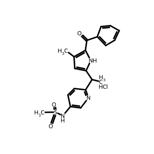 Cc1cc(C(C)c2ccc(NS(C)(=O)=O)cn2)[nH]c1C(=O)c1ccccc1.Cl